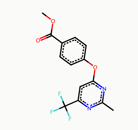 COC(=O)c1ccc(Oc2cc(C(F)(F)F)nc(C)n2)cc1